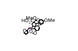 COC(=O)C1(C(=O)O)CC(/C=C/c2ccco2)C2(C(=O)C=CC3=C2COCO3)C1c1ccc(OC)cc1